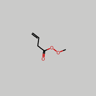 C=CCC(=O)OOC